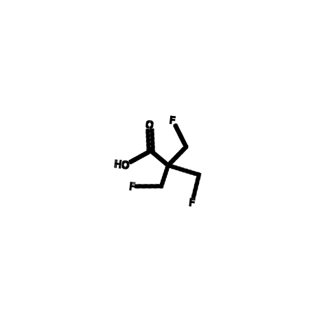 O=C(O)C(CF)(CF)CF